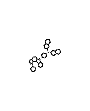 c1ccc(-n2ccc3ccc4c(c5ccccc5n4-c4ccc(N(c5ccc6ccccc6c5)c5ccc6ccccc6c5)cc4)c32)cc1